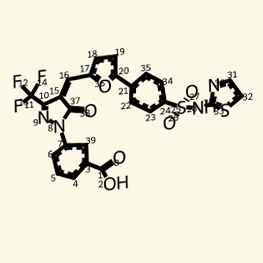 O=C(O)c1cccc(N2N=C(C(F)(F)F)/C(=C/c3ccc(-c4ccc(S(=O)(=O)Nc5nccs5)cc4)o3)C2=O)c1